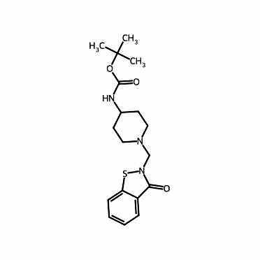 CC(C)(C)OC(=O)NC1CCN(Cn2sc3ccccc3c2=O)CC1